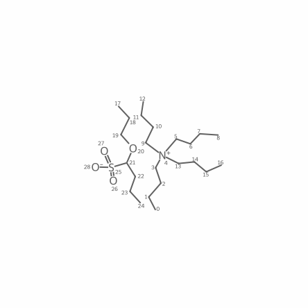 CCCC[N+](CCCC)(CCCC)CCCC.CCCOC(CCC)S(=O)(=O)[O-]